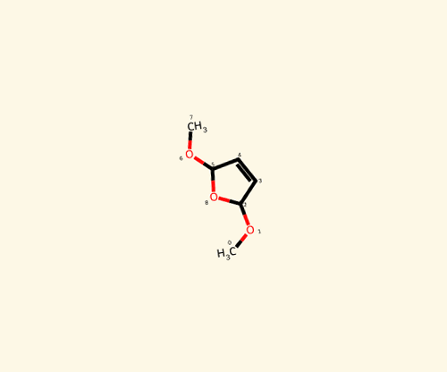 CO[C]1C=CC(OC)O1